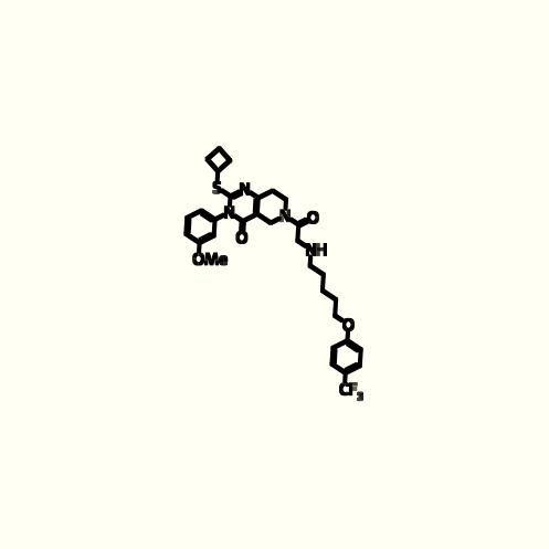 COc1cccc(-n2c(SC3CCC3)nc3c(c2=O)CN(C(=O)CNCCCCCOc2ccc(C(F)(F)F)cc2)CC3)c1